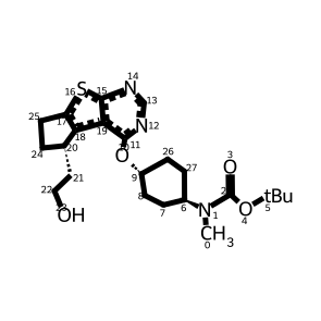 CN(C(=O)OC(C)(C)C)[C@H]1CC[C@H](Oc2ncnc3sc4c(c23)[C@H](CCO)CC4)CC1